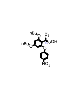 CCCCOc1cc(OCCCC)c(/C(C)=N/O)c(Oc2ccc([N+](=O)[O-])cc2)c1